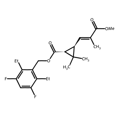 CCc1c(F)cc(F)c(CC)c1COC(=O)[C@@H]1[C@@H](/C=C(\C)C(=O)OC)C1(C)C